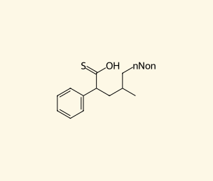 CCCCCCCCCCC(C)CC(C(O)=S)c1ccccc1